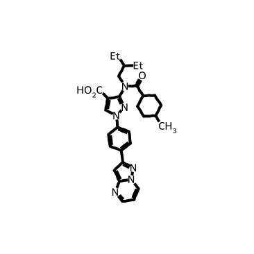 CCC(CC)CN(C(=O)C1CCC(C)CC1)c1nn(-c2ccc(-c3cc4ncccn4n3)cc2)cc1C(=O)O